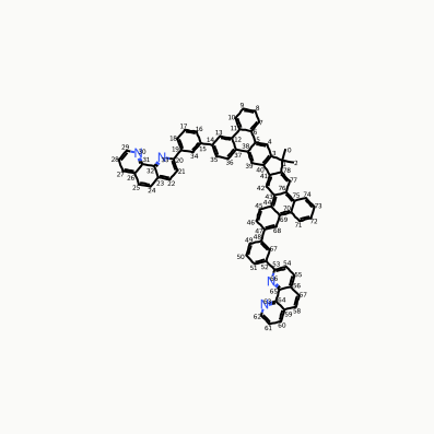 CC1(C)c2cc3c4ccccc4c4cc(-c5cccc(-c6ccc7ccc8cccnc8c7n6)c5)ccc4c3cc2-c2cc3c4ccc(-c5cccc(-c6ccc7ccc8cccnc8c7n6)c5)cc4c4ccccc4c3cc21